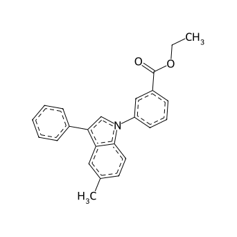 CCOC(=O)c1cccc(-n2cc(-c3ccccc3)c3cc(C)ccc32)c1